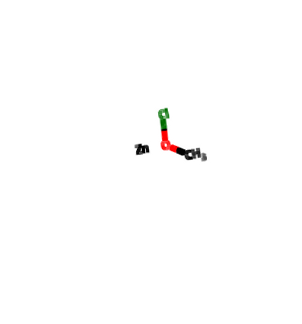 COCl.[Zn]